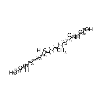 C/C(=C\CC/C=C(\C)CCCCCCC(=O)NCCOCCO)CCCCCC/C=P/NCCOCCO